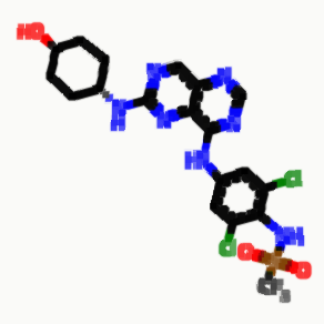 O=S(=O)(Nc1c(Cl)cc(Nc2ncnc3cnc(N[C@H]4CC[C@H](O)CC4)nc23)cc1Cl)C(F)(F)F